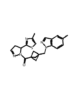 Cc1ccc2c(cnn2CC23CC(C(=O)N4N=CCC4c4nc(C)cs4)(C2)C3)c1